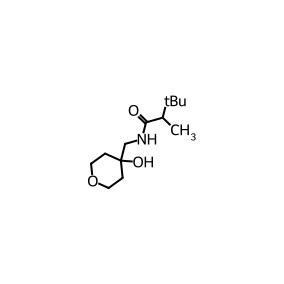 CC(C(=O)NCC1(O)CCOCC1)C(C)(C)C